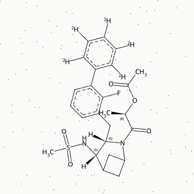 [2H]c1c([2H])c([2H])c(-c2cccc(C[C@H]3[C@@H](NS(C)(=O)=O)C4CC(C4)N3C(=O)[C@@H](C)OC(C)=O)c2F)c([2H])c1[2H]